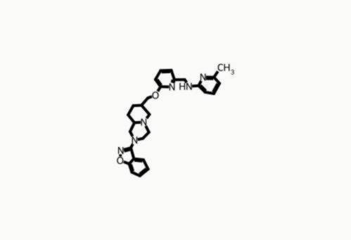 Cc1cccc(NCc2cccc(OCC3CCC4CN(c5noc6ccccc56)CCN4C3)n2)n1